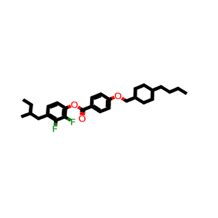 CCCCC1CCC(COc2ccc(C(=O)Oc3ccc(CC(C)CC)c(F)c3F)cc2)CC1